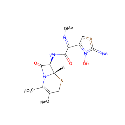 CON=C(C(=O)N[C@@H]1C(=O)N2C(C(=O)O)=C(OC)CS[C@@H]12)c1csc(=N)n1O